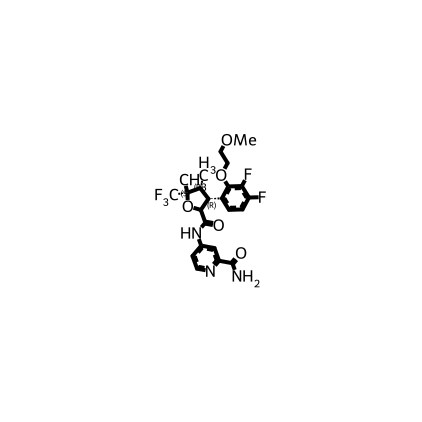 COCCOc1c([C@@H]2C(C(=O)Nc3ccnc(C(N)=O)c3)O[C@](C)(C(F)(F)F)[C@@H]2C)ccc(F)c1F